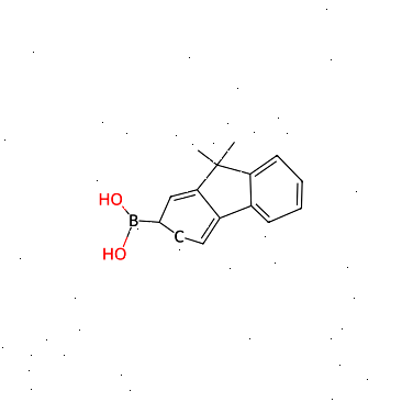 CC1(C)C2=CC(B(O)O)CC=C2c2ccccc21